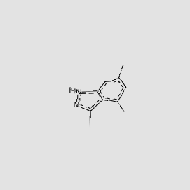 Cc1cc(C)c2c(C)n[nH]c2c1